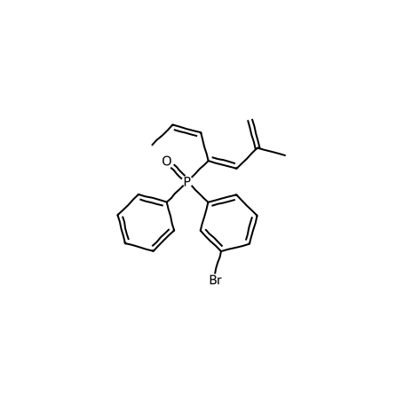 C=C(C)/C=C(\C=C/C)P(=O)(c1ccccc1)c1cccc(Br)c1